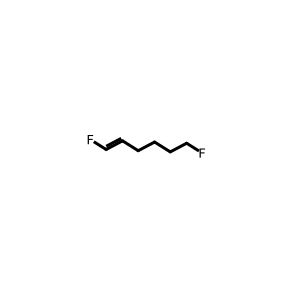 FC=CCCCCF